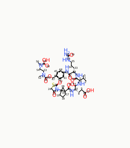 CC(C)[C@H](NC(=O)[C@H](CCC(=O)O)NC(=O)C12CCCC1(N1C(=O)CSC1=O)C2)C(=O)N[C@@H](CCCNC(N)=O)C(=O)Nc1ccc(COC(=O)N(C)CCN(C)C(=O)O)cc1